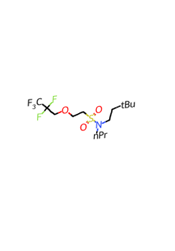 CCCN(CCC(C)(C)C)S(=O)(=O)CCOCC(F)(F)C(F)(F)F